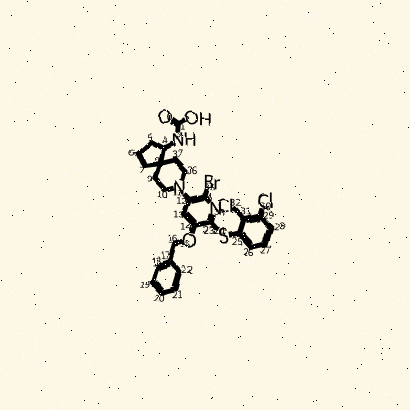 O=C(O)NC1CCCC12CCN(c1cc(OCc3ccccc3)c(Sc3cccc(Cl)c3Cl)nc1Br)CC2